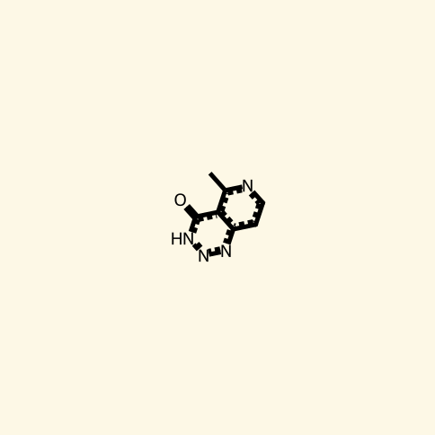 Cc1nccc2nn[nH]c(=O)c12